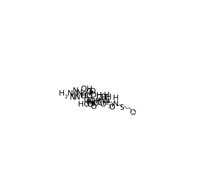 CC(C)(COP(=O)(O)OP(=O)(O)OC[C@H]1O[C@@H](n2cnc3c(N)ncnc32)[C@H](O)[C@@H]1OP(=O)(O)O)[C@@H](O)C(=O)NCCC(=O)NCCSCCCc1ccccc1